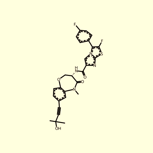 CN1C(=O)[C@@H](NC(=O)c2cn3c(-c4ccc(F)cc4)c(F)sc3n2)COc2ccc(C#CC(C)(C)O)cc21